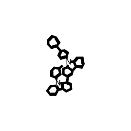 CC1C=C(n2c3c(c4c2C(C2=CC5c6ccccc6N(c6ccc(C7=CCC=CC=C7)cc6)C5CC2)=CCC4)C=CCC3)C=CC1